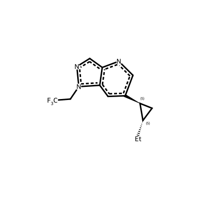 CC[C@H]1C[C@@H]1c1cnc2cnn(CC(F)(F)F)c2c1